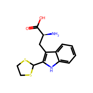 N[C@@H](Cc1c(C2SCCS2)[nH]c2ccccc12)C(=O)O